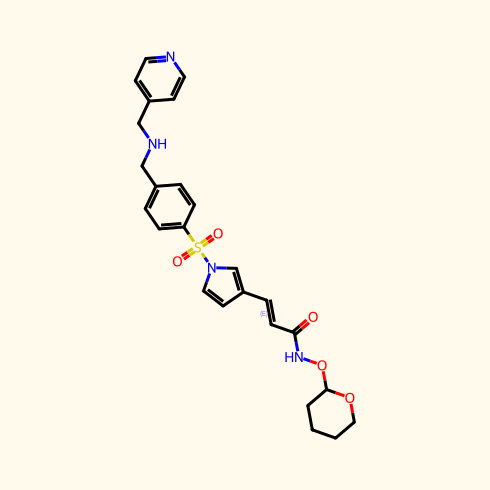 O=C(/C=C/c1ccn(S(=O)(=O)c2ccc(CNCc3ccncc3)cc2)c1)NOC1CCCCO1